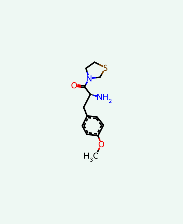 COc1ccc(C[C@H](N)C(=O)N2CCSC2)cc1